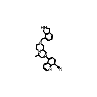 CC1CN(c2ccc(C#N)c3ncccc23)CC2CN(Cc3cccc4c3CNC4)CCN12